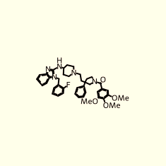 COc1cc(C(=O)N2CCC(CCN3CCC(Nc4nc5ccccc5n4Cc4ccccc4F)CC3)(c3ccccc3)C2)cc(OC)c1OC